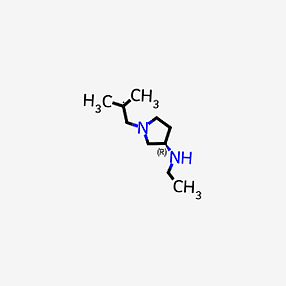 CCN[C@@H]1CCN(C[C](C)C)C1